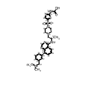 C[C@@H](CN1CCN(S(=O)(=O)c2cnc(NC(=O)O)s2)CC1)Nc1ncnc2c(-c3cccc(CN(C)C)c3)cccc12